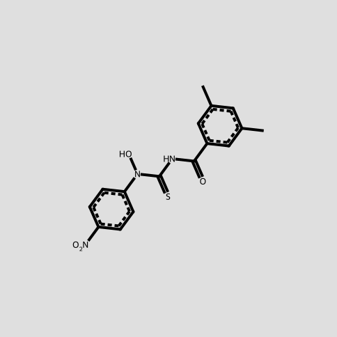 Cc1cc(C)cc(C(=O)NC(=S)N(O)c2ccc([N+](=O)[O-])cc2)c1